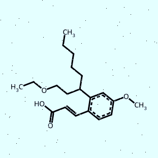 CCCCCC(CCOCC)c1cc(OC)ccc1C=CC(=O)O